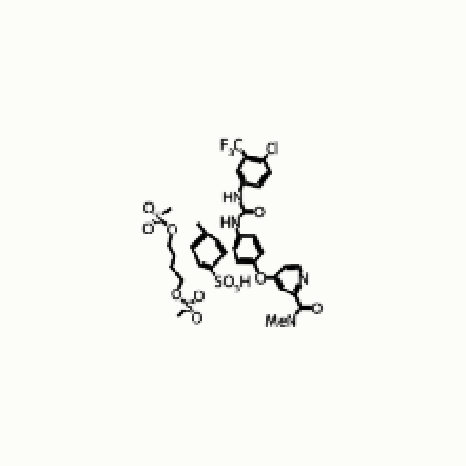 CNC(=O)c1cc(Oc2ccc(NC(=O)Nc3ccc(Cl)c(C(F)(F)F)c3)cc2)ccn1.CS(=O)(=O)OCCCCOS(C)(=O)=O.Cc1ccc(S(=O)(=O)O)cc1